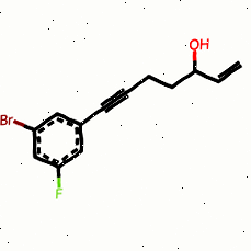 C=CC(O)CCC#Cc1cc(F)cc(Br)c1